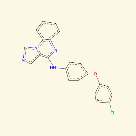 Clc1ccc(Oc2ccc(Nc3nc4ccccc4n4cncc34)cc2)cc1